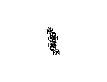 O=C1N2C[C@@H](CC[C@H]2c2ncno2)N1OS(=O)(=O)ON1C(=O)N2C[C@H]1CC[C@H]2c1ncno1